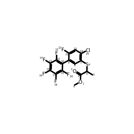 COC(=O)C(C)Sc1cc(-c2c(F)c(F)c(F)c(F)c2F)c(F)cc1Cl